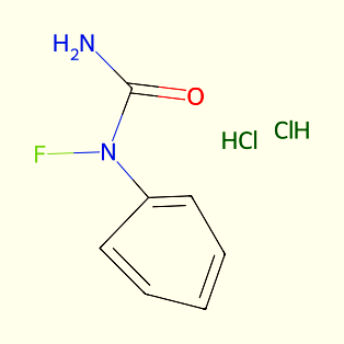 Cl.Cl.NC(=O)N(F)c1ccccc1